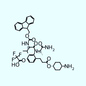 CC(C)[C@H](NC(=O)OCC1c2ccccc2-c2ccccc21)C(=O)N(c1ccccc1CCC(=O)O[C@H]1CC[C@H](N)CC1)[C@@H](C)C(N)=O.O=C(O)C(F)(F)F